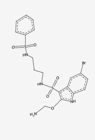 NCOc1[nH]c2ccc(Br)cc2c1S(=O)(=O)NCCCNS(=O)(=O)c1ccccc1